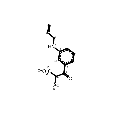 C=CCNc1cccc(C(=O)C(C(C)=O)C(=O)OCC)c1